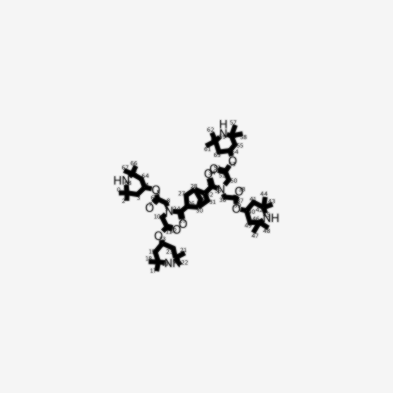 CC1(C)CC(OC(=O)CN(CC(=O)OC2CC(C)(C)NC(C)(C)C2)C(=O)C2CC3CC2CC3C(=O)N(CC(=O)OC2CC(C)(C)NC(C)(C)C2)CC(=O)OC2CC(C)(C)NC(C)(C)C2)CC(C)(C)N1